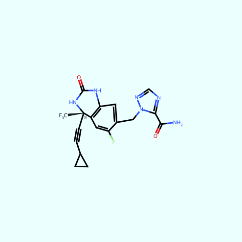 NC(=O)c1ncnn1Cc1cc2c(cc1F)[C@@](C#CC1CC1)(C(F)(F)F)NC(=O)N2